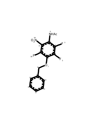 CC(=O)Nc1c(F)c(F)c(OCc2ccccc2)c(F)c1[N+](=O)[O-]